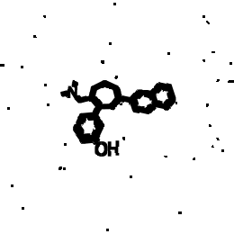 CN(C)CC1=C(c2cccc(O)c2)CC(c2ccc3ccccc3c2)CCC1